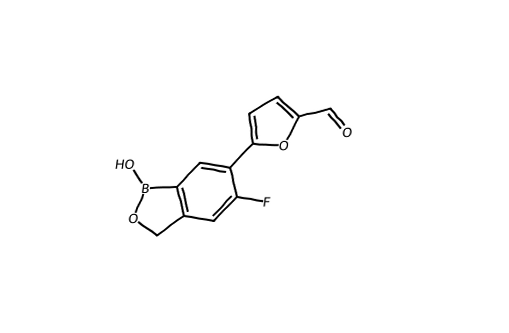 O=Cc1ccc(-c2cc3c(cc2F)COB3O)o1